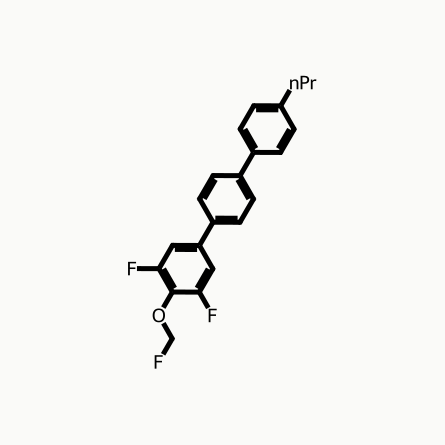 CCCc1ccc(-c2ccc(-c3cc(F)c(OCF)c(F)c3)cc2)cc1